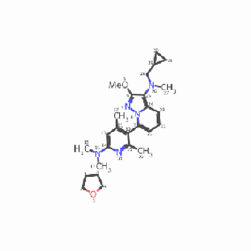 C1CCOC1.COc1nn2c(-c3c(C)cc(N(C)C)nc3C)cccc2c1N(C)CC1CC1